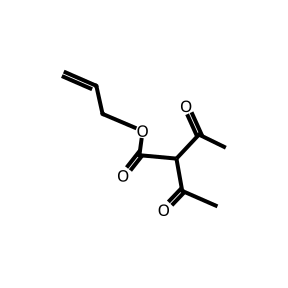 C=CCOC(=O)C(C(C)=O)C(C)=O